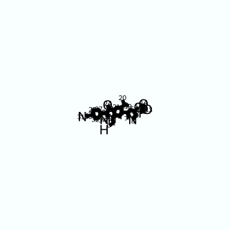 CCn1c2cc(-c3cncc(OS(=O)(=O)F)c3)c(C(C)C)cc2c(=O)c2c3ccc(C#N)cc3[nH]c21